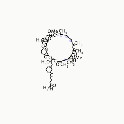 CO[C@H]1C[C@@H]2CC[C@@H](C)[C@@](O)(O2)C(=O)C(=O)N2CCCCC2C(=O)O[C@H]([C@H](C)C[C@@H]2CCCC(OCCC[PH](C)=O)C2)CC(=O)[C@H](C)/C=C(\C)[C@@H](O)[C@@H](OC)C(=O)[C@H](C)C[C@H](C)/C=C/C=C/C=C/1C